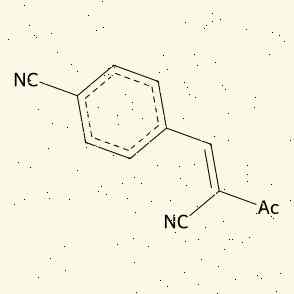 CC(=O)C(C#N)=Cc1ccc(C#N)cc1